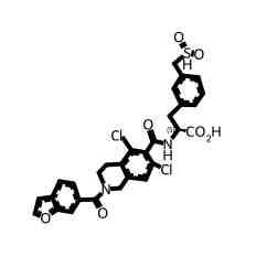 O=C(N[C@@H](Cc1cccc(C[SH](=O)=O)c1)C(=O)O)c1c(Cl)cc2c(c1Cl)CCN(C(=O)c1ccc3ccoc3c1)C2